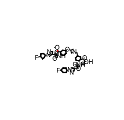 COC(=O)c1cc(OC2CN(Cc3ccc(NS(=O)(=O)c4cnn(-c5ccc(F)cc5)c4)c(S(=O)(=O)O)c3)C2)ccc1NS(=O)(=O)c1cnn(-c2ccc(F)cc2)c1